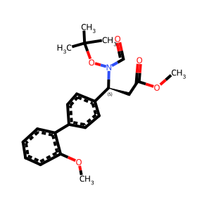 COC(=O)C[C@@H](c1ccc(-c2ccccc2OC)cc1)N(C=O)OC(C)(C)C